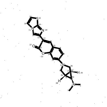 CN(C)[C@H]1[C@@H]2CN(c3ccc4cc(-c5cn6ccsc6n5)c(=O)oc4c3)C[C@@H]21